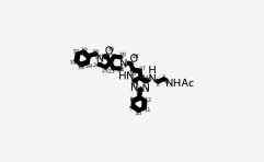 CC(=O)NCCNc1nc(-c2ccccc2)nc2[nH]c(C(=O)N3CCC4(CC3)CCN(Cc3ccccc3)C4=O)cc12